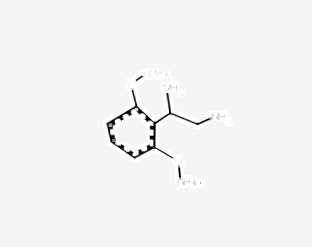 CCCCCCOc1cccc(OCCCCCC)c1C(N)CN